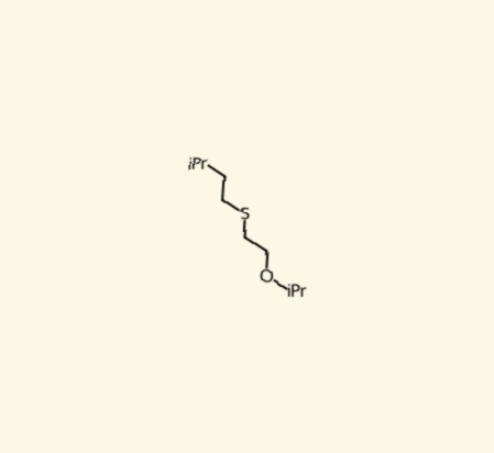 CC(C)CCSCCOC(C)C